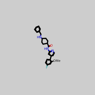 COc1cc(F)ccc1-c1ccnc(NC(=O)C2CCC(NCc3ccccc3)CC2)c1